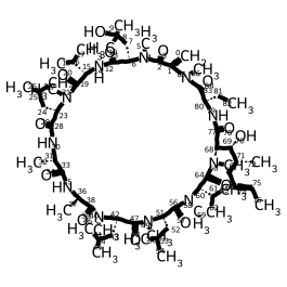 C=C1C(=O)N(C)[C@@H](CC(C)(C)O)C(=O)N[C@@H](C(C)C)C(=O)N(C)[C@@H](CC(C)C)C(=O)N[C@@H](C)C(=O)N[C@H](C)C(=O)N(C)[C@@H](CC(C)C)C(=O)N(C)[C@@H](CC(C)C)C(=O)N(C)[C@@H](C(C)C)C(=O)N(C)[C@@H]([C@H](O)[C@H](C)C/C=C/C)C(=O)N[C@@H](CC)C(=O)N1C